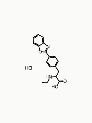 CCNC(Cc1ccc(-c2nc3ccccc3o2)cc1)C(=O)O.Cl